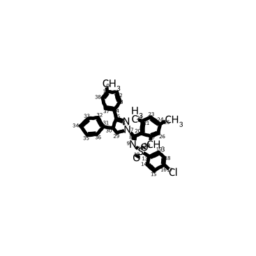 Cc1ccc(C2=NN(/C(=N/S(=O)(=O)c3ccc(Cl)cc3)c3c(C)cc(C)cc3C)CC2c2ccccc2)cc1